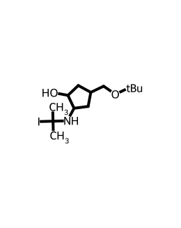 CC(C)(I)NC1CC(COC(C)(C)C)CC1O